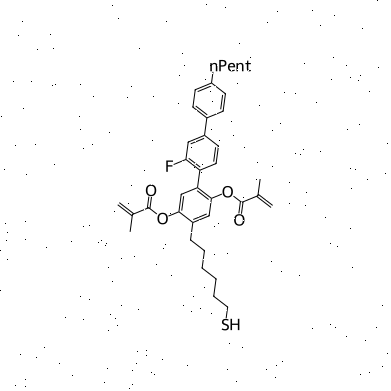 C=C(C)C(=O)Oc1cc(-c2ccc(-c3ccc(CCCCC)cc3)cc2F)c(OC(=O)C(=C)C)cc1CCCCCCS